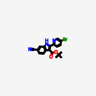 CC(C)(C)OC(=O)c1c(-c2ccc(Br)cn2)[nH]c2cc(C#N)ccc12